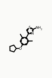 Cc1cc(OC2CCCC2)cc(C)c1-c1csc(N)n1